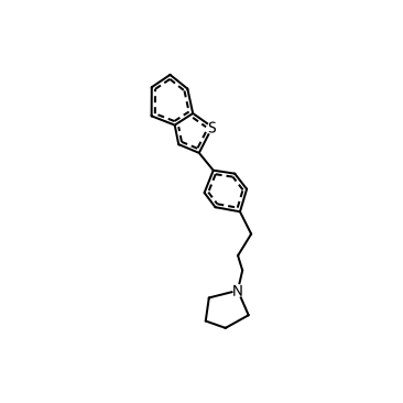 c1ccc2sc(-c3ccc(CCCN4CCCC4)cc3)cc2c1